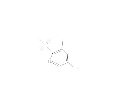 Cc1cnc(S(C)(=O)=O)c(C(F)(F)F)c1